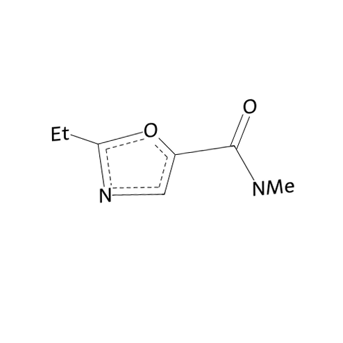 CCc1ncc(C(=O)NC)o1